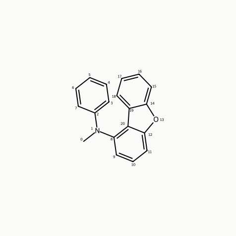 CN(c1ccccc1)c1cccc2oc3ccccc3c12